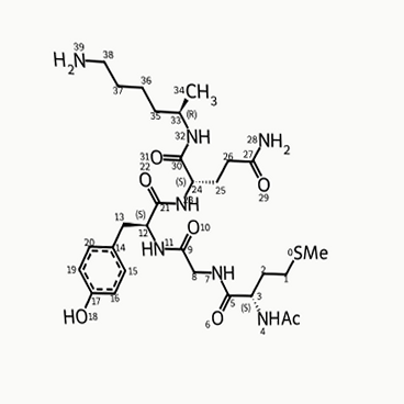 CSCC[C@H](NC(C)=O)C(=O)NCC(=O)N[C@@H](Cc1ccc(O)cc1)C(=O)N[C@@H](CCC(N)=O)C(=O)N[C@H](C)CCCCN